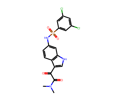 CN(C)C(=O)C(=O)c1c[nH]c2cc(NS(=O)(=O)c3cc(Cl)cc(Cl)c3)ccc12